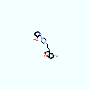 COc1cccnc1N1CCN(CCCc2coc3ccc(Cl)cc23)CC1